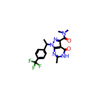 Cc1nc2c(c(C(=O)N(C)C)nn2C(C)c2ccc(C(F)(F)F)cc2)c(=O)[nH]1